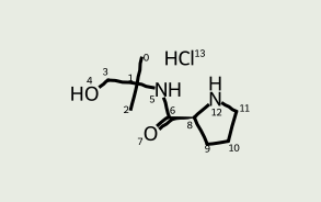 CC(C)(CO)NC(=O)[C@@H]1CCCN1.Cl